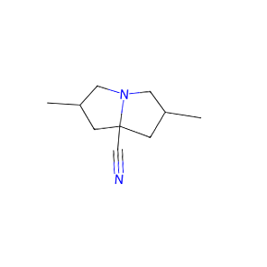 CC1CN2CC(C)CC2(C#N)C1